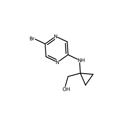 OCC1(Nc2cnc(Br)cn2)CC1